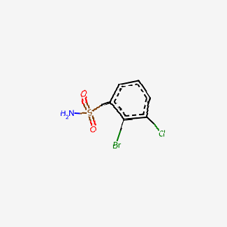 NS(=O)(=O)c1cccc(Cl)c1Br